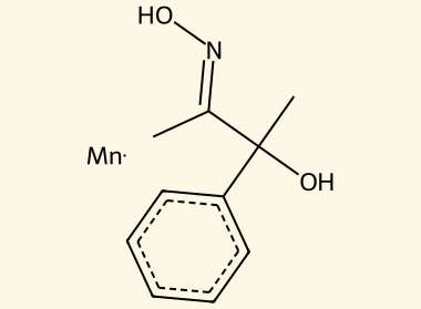 C/C(=N\O)C(C)(O)c1ccccc1.[Mn]